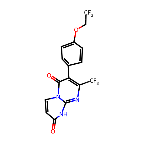 O=c1ccn2c(=O)c(-c3ccc(OCC(F)(F)F)cc3)c(C(F)(F)F)nc2[nH]1